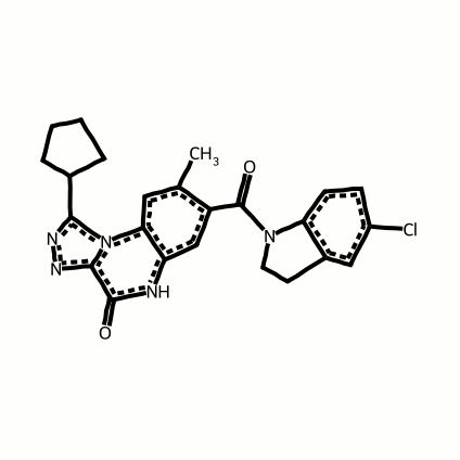 Cc1cc2c(cc1C(=O)N1CCc3cc(Cl)ccc31)[nH]c(=O)c1nnc(C3CCCC3)n12